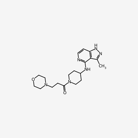 Cc1n[nH]c2ccnc(NC3CCN(C(=O)CCN4CCOCC4)CC3)c12